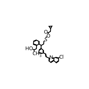 CC(O)Cc1ccccc1C(CCSCOC(=O)CC1CC1)c1cccc(C=Cc2ccc3ccc(Cl)cc3n2)c1